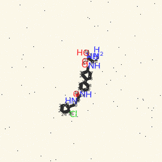 NC[C@H](NC(=O)c1ccc(-c2ccc(NC(=O)CNCc3ccccc3Cl)cc2)cc1)C(=O)NO